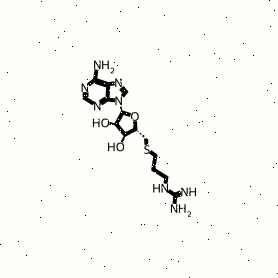 N=C(N)NCCCSC[C@H]1O[C@@H](n2cnc3c(N)ncnc32)[C@H](O)[C@@H]1O